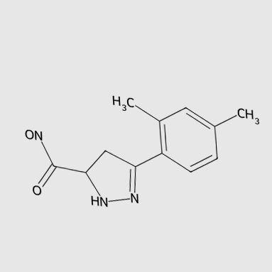 Cc1ccc(C2=NNC(C(=O)N=O)C2)c(C)c1